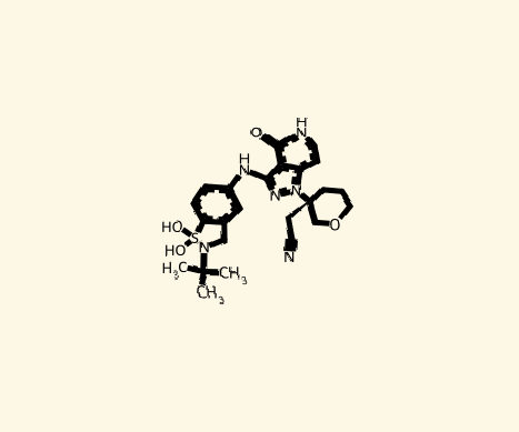 CC(C)(C)N1Cc2cc(Nc3nn([C@]4(CC#N)CCCOC4)c4cc[nH]c(=O)c34)ccc2S1(O)O